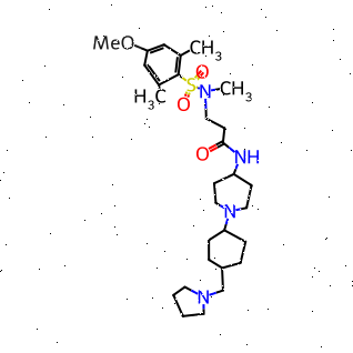 COc1cc(C)c(S(=O)(=O)N(C)CCC(=O)NC2CCN(C3CCC(CN4CCCC4)CC3)CC2)c(C)c1